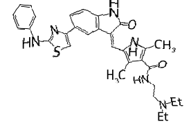 CCN(CC)CCNC(=O)c1c(C)[nH]c(/C=C2\C(=O)Nc3ccc(-c4csc(Nc5ccccc5)n4)cc32)c1C